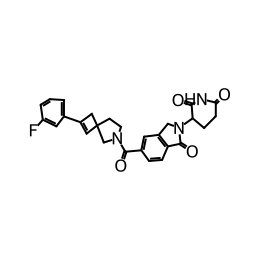 O=C1CCC(N2Cc3cc(C(=O)N4CCC5(C=C(c6cccc(F)c6)C5)C4)ccc3C2=O)C(=O)N1